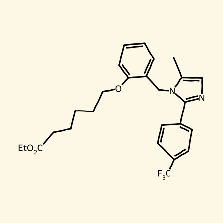 CCOC(=O)CCCCCOc1ccccc1Cn1c(C)cnc1-c1ccc(C(F)(F)F)cc1